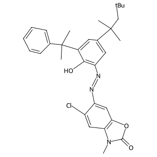 Cn1c(=O)oc2cc(N=Nc3cc(C(C)(C)CC(C)(C)C)cc(C(C)(C)c4ccccc4)c3O)c(Cl)cc21